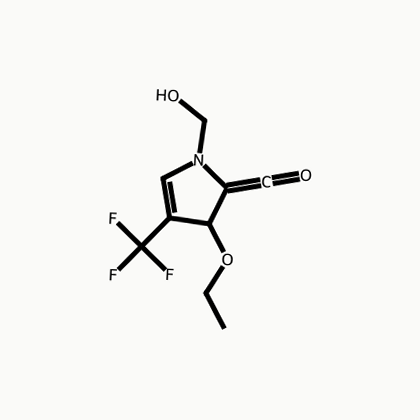 CCOC1C(=C=O)N(CO)C=C1C(F)(F)F